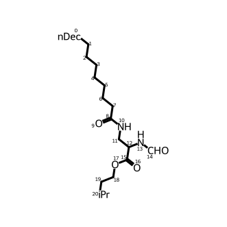 CCCCCCCCCCCCCCCCCC(=O)NCC(NC=O)C(=O)OCCC(C)C